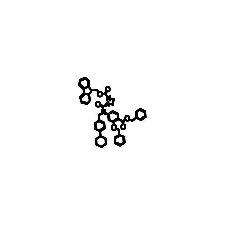 O=C(OCc1ccccc1)c1ccc(N(Cc2ccc(C3CCCCC3)cc2)C(=O)[C@H]2CCN2C(=O)OCC2c3ccccc3-c3ccccc32)cc1OCc1ccccc1